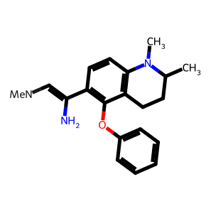 CN/C=C(\N)c1ccc2c(c1Oc1ccccc1)CCC(C)N2C